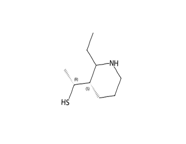 CCC1NCCC[C@@H]1[C@@H](C)S